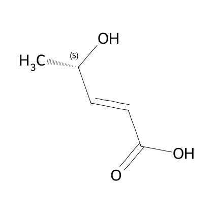 C[C@H](O)C=CC(=O)O